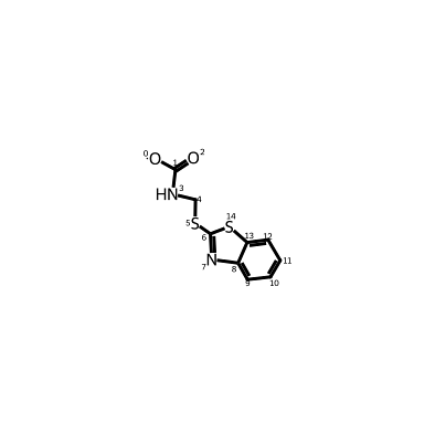 [O]C(=O)NCSc1nc2ccccc2s1